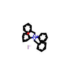 [I-].c1ccc(C[N+](Cc2ccccc2)(c2ccccc2)c2ccccc2)cc1